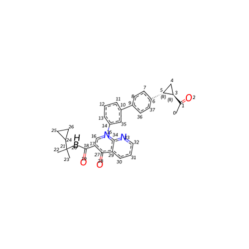 CC(=O)[C@@H]1C[C@H]1c1ccc(-c2cccc(-n3cc(C(=O)BC(C)(C)C4CC4)c(=O)c4cccnc43)c2)cc1